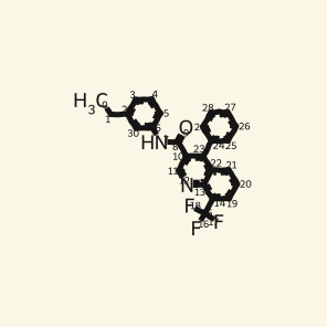 CCc1cccc(NC(=O)c2cnc3c(C(F)(F)F)cccc3c2-c2ccccc2)c1